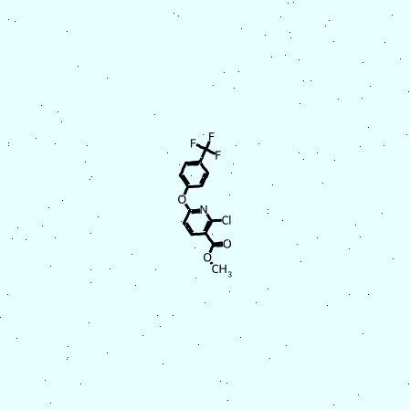 COC(=O)c1ccc(Oc2ccc(C(F)(F)F)cc2)nc1Cl